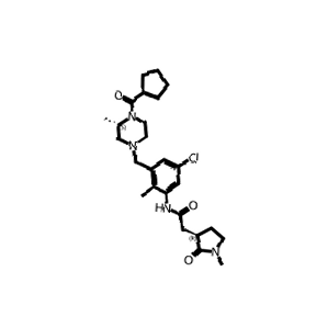 Cc1c(CN2CCN(C(=O)C3CCCC3)[C@@H](C)C2)cc(Cl)cc1NC(=O)C[C@H]1CCN(C)C1=O